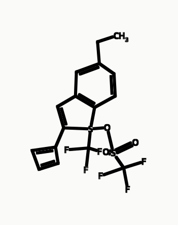 CCc1ccc2c(c1)C=C(C1=CC=C1)S2(OS(=O)(=O)C(F)(F)F)C(F)(F)F